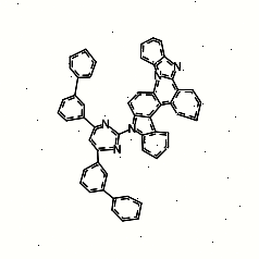 c1ccc(-c2cccc(-c3cc(-c4cccc(-c5ccccc5)c4)nc(-n4c5ccccc5c5c6c7ccccc7c7nc8ccccc8n7c6ccc54)n3)c2)cc1